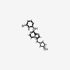 Cc1c(Br)cccc1Nc1nccn2c(CN3CCC(O)C3)cnc12